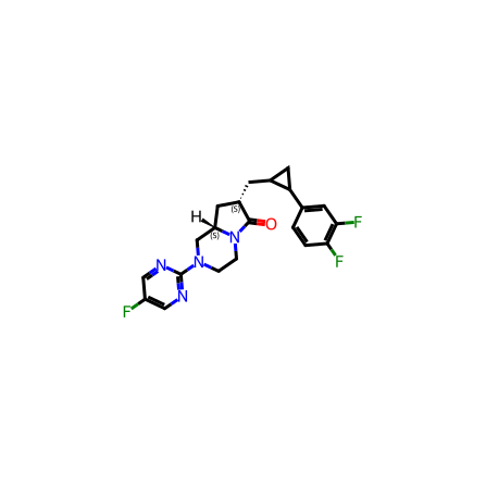 O=C1[C@@H](CC2CC2c2ccc(F)c(F)c2)C[C@H]2CN(c3ncc(F)cn3)CCN12